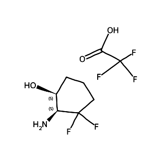 N[C@H]1[C@@H](O)CCCC1(F)F.O=C(O)C(F)(F)F